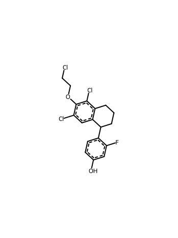 Oc1ccc(C2CCCc3c2cc(Cl)c(OCCCl)c3Cl)c(F)c1